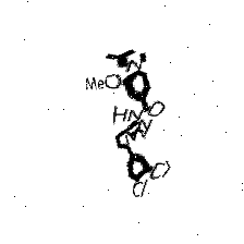 C=CN(C=C(C)C)c1ccc(C(=O)Nc2nnn3c2CCC3c2ccc(Cl)c(Cl)c2)cc1OC